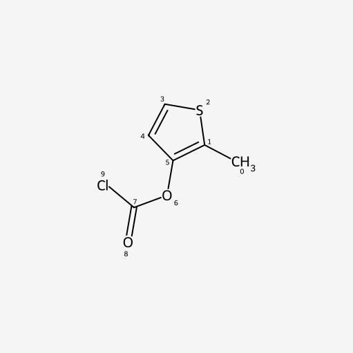 Cc1sccc1OC(=O)Cl